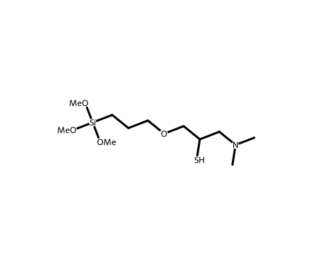 CO[Si](CCCOCC(S)CN(C)C)(OC)OC